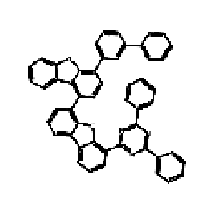 c1ccc(-c2cccc(-c3ccc(-c4cccc5c4oc4c(-c6nc(-c7ccccc7)nc(-c7ccccc7)n6)cccc45)c4c3sc3ccccc34)c2)cc1